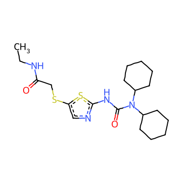 CCNC(=O)CSc1cnc(NC(=O)N(C2CCCCC2)C2CCCCC2)s1